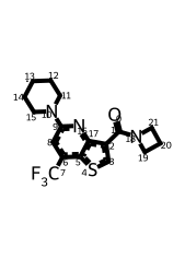 O=C(c1csc2c(C(F)(F)F)cc(N3CC[CH]CC3)nc12)N1CCC1